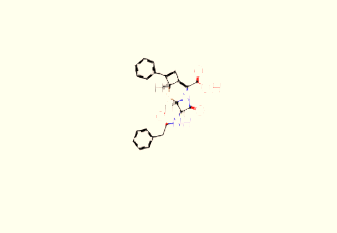 O=C(Cc1ccccc1)N[C@@H]1C(=O)N2C(C(=O)O)=C3C=C(c4ccccc4)[C@H]3S[C@H]12